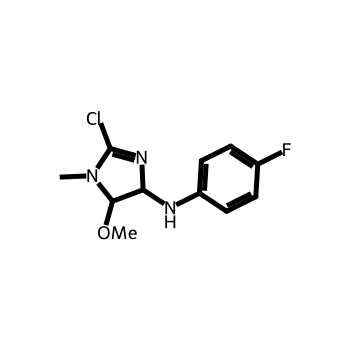 COC1C(Nc2ccc(F)cc2)N=C(Cl)N1C